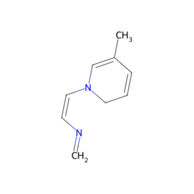 C=N/C=C\N1C=C(C)C=CC1